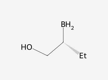 B[C@H](CC)CO